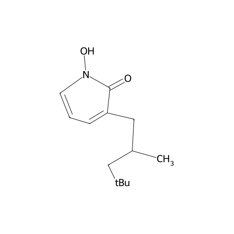 CC(Cc1cccn(O)c1=O)CC(C)(C)C